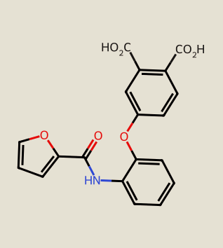 O=C(Nc1ccccc1Oc1ccc(C(=O)O)c(C(=O)O)c1)c1ccco1